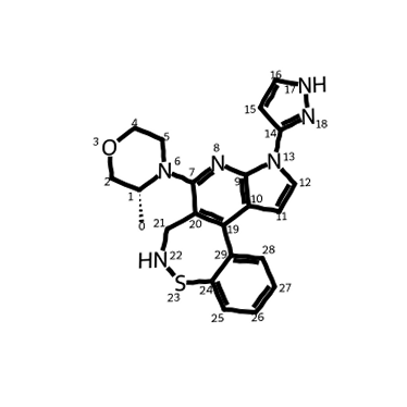 C[C@@H]1COCCN1c1nc2c(ccn2-c2cc[nH]n2)c2c1CNSc1ccccc1-2